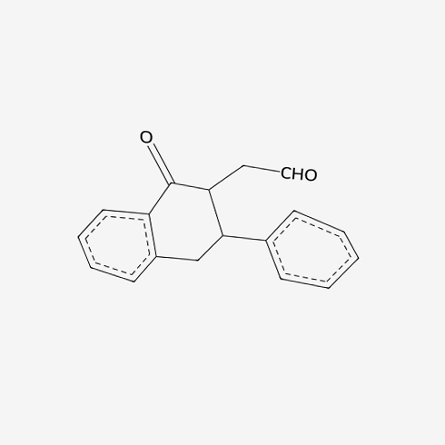 O=CCC1C(=O)c2ccccc2CC1c1ccccc1